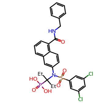 CCC(CC)(N(c1ccc2c(C(=O)NCc3ccccc3)cccc2c1)S(=O)(=O)c1cc(Cl)cc(Cl)c1)P(=O)(O)O